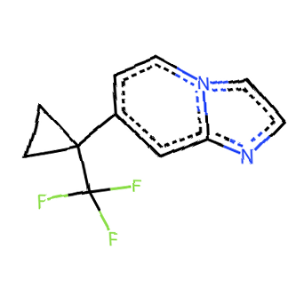 FC(F)(F)C1(c2ccn3ccnc3c2)CC1